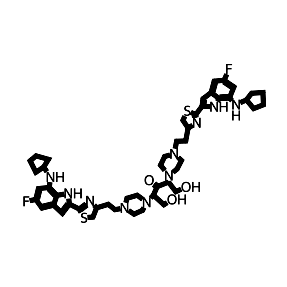 O=C(C(CO)N1CCN(CCC2CSC(c3cc4cc(F)cc(NC5CCCC5)c4[nH]3)=N2)CC1)C(CO)N1CCN(CCC2CSC(c3cc4cc(F)cc(NC5CCCC5)c4[nH]3)=N2)CC1